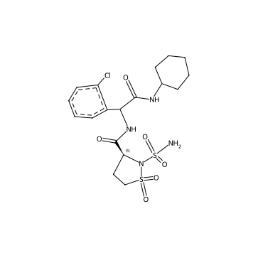 NS(=O)(=O)N1[C@H](C(=O)NC(C(=O)NC2CCCCC2)c2ccccc2Cl)CCS1(=O)=O